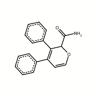 NC(=O)C1OC=CC(c2ccccc2)=C1c1ccccc1